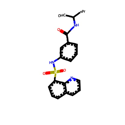 CCCC(C=O)NC(=O)c1cccc(NS(=O)(=O)c2cccc3cccnc23)c1